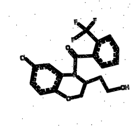 O=C(c1ccccc1C(F)(F)F)N1c2cc(Cl)ccc2OCC1CCO